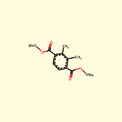 COOC(=O)c1ccc(C(=O)OOC)c(C)c1C